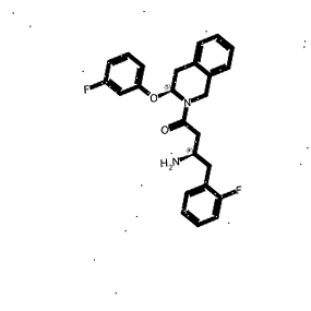 N[C@@H](CC(=O)N1Cc2ccccc2C[C@@H]1Oc1cccc(F)c1)Cc1ccccc1F